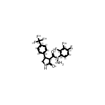 NN(C(=O)C1C(=O)NCC1c1ccc(C(F)(F)F)cc1)c1ccc(F)c(F)c1F